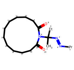 CCC(C)(N=NC(C)C)N1C(=O)CCCCCCCCCCC1=O